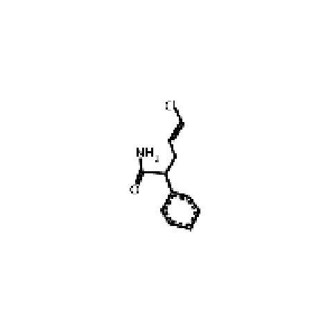 NC(=O)C(C/C=C/Cl)c1ccccc1